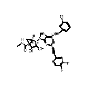 CNC(=O)[C@@]12C[C@@H]1[C@@H](n1cnc3c(NCc4cccc(Cl)c4)nc(C#Cc4ccc(F)c(F)c4)nc31)C(O)C2O